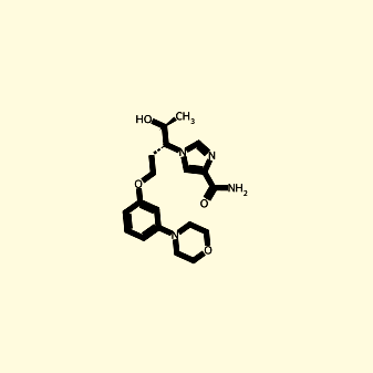 C[C@H](O)[C@@H](CCOc1cccc(N2CCOCC2)c1)n1cnc(C(N)=O)c1